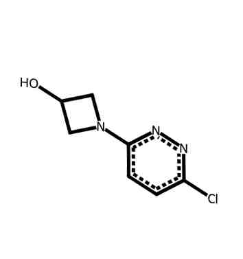 OC1CN(c2ccc(Cl)nn2)C1